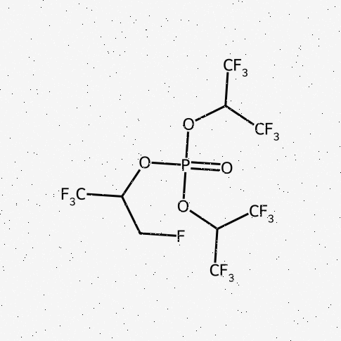 O=P(OC(CF)C(F)(F)F)(OC(C(F)(F)F)C(F)(F)F)OC(C(F)(F)F)C(F)(F)F